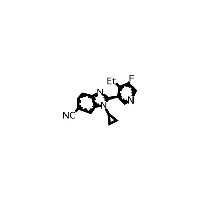 CCc1c(F)cncc1-c1nc2ccc(C#N)cc2n1C1CC1